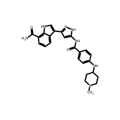 CN1CCC(Nc2ccc(C(=O)Nc3cc(-c4c[nH]c5c(C(N)=O)cccc45)n[nH]3)cc2)CC1